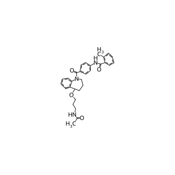 CC(=O)NCCCOC1CCCN(C(=O)c2ccc(NC(=O)c3ccccc3C)cc2)c2ccccc21